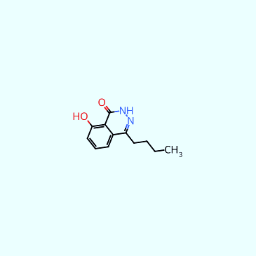 CCCCc1n[nH]c(=O)c2c(O)cccc12